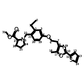 CCc1cc(OCCc2nc(-c3cccs3)oc2C)ccc1CN1CCCC1C(=O)OC